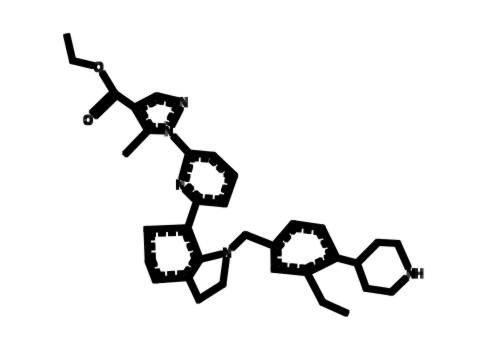 CCOC(=O)c1cnn(-c2cccc(-c3cccc4c3N(Cc3ccc(C5CCNCC5)c(CC)c3)CC4)n2)c1C